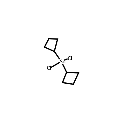 [Cl][Sn]([Cl])([CH]1CCC1)[CH]1CCC1